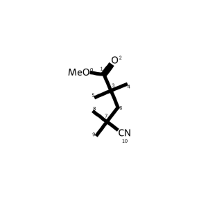 COC(=O)C(C)(C)CC(C)(C)C#N